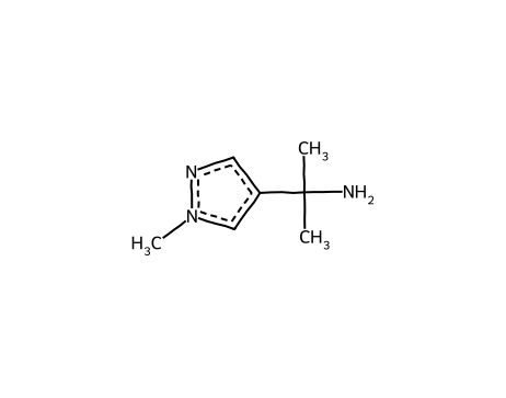 Cn1cc(C(C)(C)N)cn1